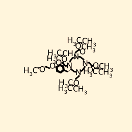 CCOCCOc1ccc(C[C@H]2CN(CCOC(C)(C)C)CCN(CC(=O)OC(C)(C)C)CCN(CC(=O)OC(C)(C)C)CCN2CC(=O)OC(C)(C)C)cc1